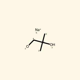 CC(C)(O)C[O-].[Na+]